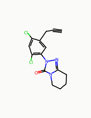 C#CCc1cc(-n2nc3n(c2=O)CCCC3)c(Cl)cc1Cl